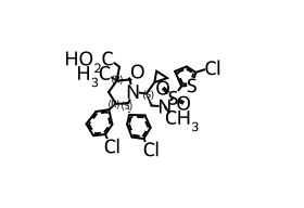 CN(C[C@H](C1CC1)N1C(=O)[C@@](C)(CC(=O)O)C[C@H](c2cccc(Cl)c2)[C@H]1c1ccc(Cl)cc1)S(=O)(=O)c1ccc(Cl)s1